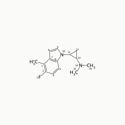 Cc1c(F)ccc2c1ccn2C1CC1N(C)C